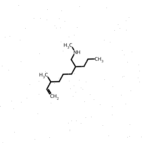 C=CC(C)CCCC(CCC)CNC